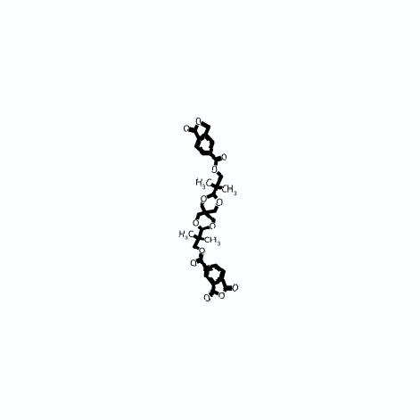 CC(C)(COC(=O)c1ccc2c(c1)COC2=O)C1OCC2(CO1)COC(C(C)(C)COC(=O)c1ccc3c(c1)C(=O)OC3=O)OC2